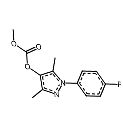 COC(=O)Oc1c(C)nn(-c2ccc(F)cc2)c1C